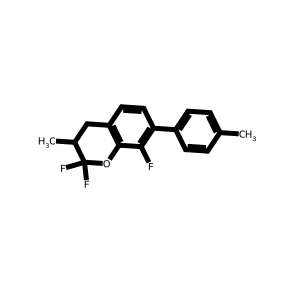 Cc1ccc(-c2ccc3c(c2F)OC(F)(F)C(C)C3)cc1